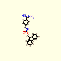 N=C(N)c1ccc(CNC(=O)OCC2c3ccccc3-c3ccccc32)cc1